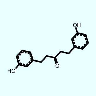 O=C(CCc1cccc(O)c1)CCc1cccc(O)c1